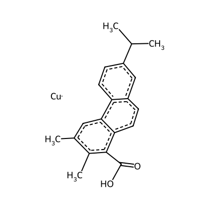 Cc1cc2c(ccc3cc(C(C)C)ccc32)c(C(=O)O)c1C.[Cu]